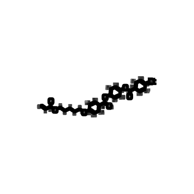 C=CC(=O)OCCCCCOc1ccc(C(=O)Oc2ccc(OC(=O)c3ccc(CC)cc3)cc2)cc1